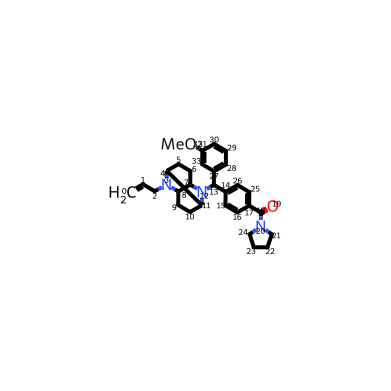 C=CCN1C2CCC3C1CCC2N3C(c1ccc(C(=O)N2CCCC2)cc1)c1cccc(OC)c1